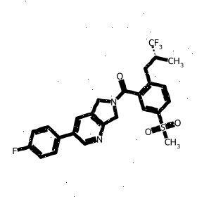 C[C@H](Cc1ccc(S(C)(=O)=O)cc1C(=O)N1Cc2cc(-c3ccc(F)cc3)cnc2C1)C(F)(F)F